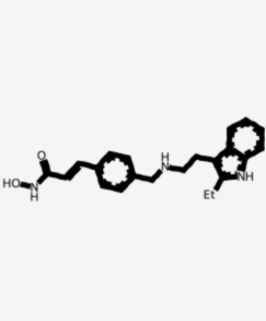 CCc1[nH]c2ccccc2c1CCNCc1ccc(/C=C/C(=O)NO)cc1